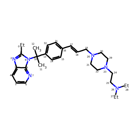 CCc1nc2cccnc2n1C(C)(C)c1ccc(C=CCN2CCN(CCN(CC)CC)CC2)cc1